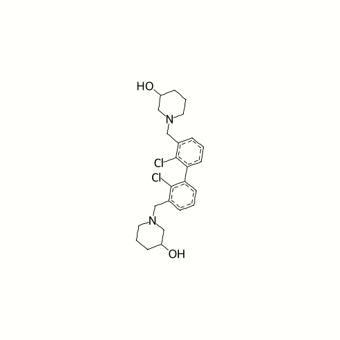 OC1CCCN(Cc2cccc(-c3cccc(CN4CCCC(O)C4)c3Cl)c2Cl)C1